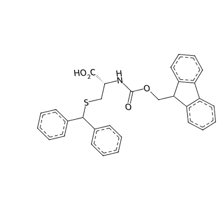 O=C(N[C@H](CSC(c1ccccc1)c1ccccc1)C(=O)O)OCC1c2ccccc2-c2ccccc21